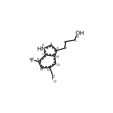 OCCCc1c[nH]c2c(F)cc(F)cc12